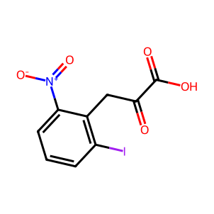 O=C(O)C(=O)Cc1c(I)cccc1[N+](=O)[O-]